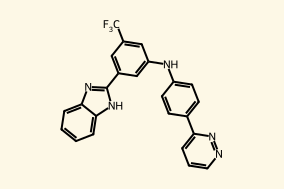 FC(F)(F)c1cc(Nc2ccc(-c3cccnn3)cc2)cc(-c2nc3ccccc3[nH]2)c1